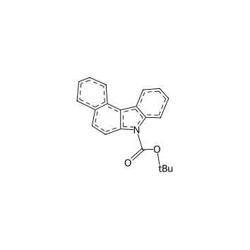 CC(C)(C)OC(=O)n1c2ccccc2c2c3ccccc3ccc21